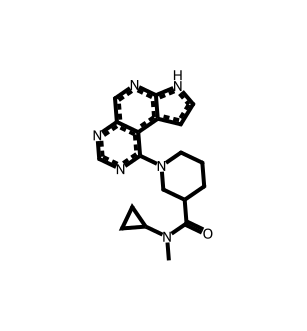 CN(C(=O)C1CCCN(c2ncnc3cnc4[nH]ccc4c23)C1)C1CC1